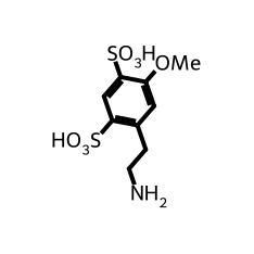 COc1cc(CCN)c(S(=O)(=O)O)cc1S(=O)(=O)O